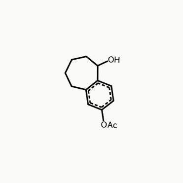 CC(=O)Oc1ccc2c(c1)CCCCC2O